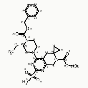 CC(C)(C)OC(=O)N1Cc2nc(S(C)(=O)=O)nc(N3CCN(C(=O)OCc4ccccc4)[C@@H](CC#N)C3)c2CC12CC2